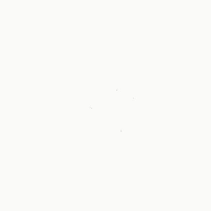 C[CH]N(Cc1ccccc1)Cc1cc(Br)cc2[nH]c(=O)c(=O)[nH]c12